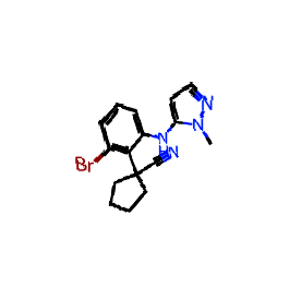 Cn1nccc1Nc1cccc(Br)c1C1(C#N)CCCC1